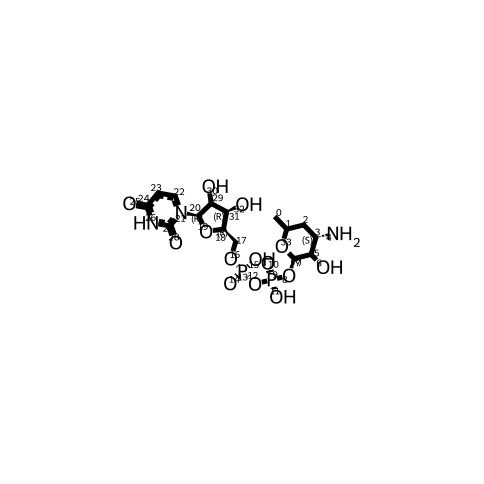 CC1C[C@H](N)C(O)[C@@H](OP(=O)(O)OP(=O)(O)OC[C@H]2O[C@@H](n3ccc(=O)[nH]c3=O)C(O)[C@H]2O)O1